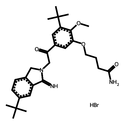 Br.COc1c(OCCCC(N)=O)cc(C(=O)CN2Cc3ccc(C(C)(C)C)cc3C2=N)cc1C(C)(C)C